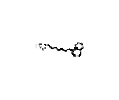 O=C(O)CCCCCCCN1C=CCCC2CCCCN21